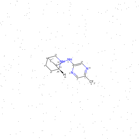 FC(F)(F)c1cnc(NC2CC3CC[C@H]2NC3)cn1